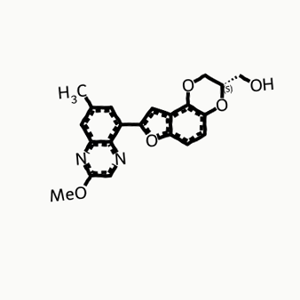 COc1cnc2c(-c3cc4c5c(ccc4o3)O[C@@H](CO)CO5)cc(C)cc2n1